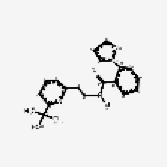 CCN(CCc1cccc(C(C)(C)O)n1)C(=O)c1ccccc1-n1cccn1